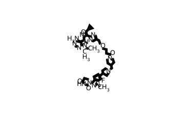 CC(C)n1nc(-c2noc(C3CC3)c2-c2ncc(CCOCCCC(=O)N3CCC(CN4CCC(c5ccc6c(N7CCC(=O)NC7=O)nn(C)c6c5F)CC4)CC3)cn2)c2c(N)ncnc21